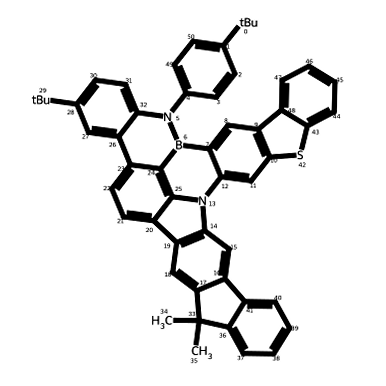 CC(C)(C)c1ccc(N2B3c4cc5c(cc4-n4c6cc7c(cc6c6ccc(c3c64)-c3cc(C(C)(C)C)ccc32)C(C)(C)c2ccccc2-7)sc2ccccc25)cc1